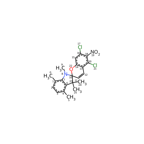 Cc1ccc(C)c2c1N(C)C1(C=Cc3c(cc(Cl)c([N+](=O)[O-])c3Cl)O1)C2(C)C